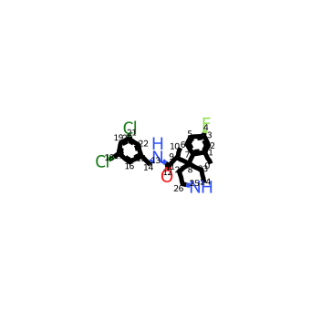 Cc1cc(F)ccc1C1(C(C)C(=O)NCc2cc(Cl)cc(Cl)c2)CCNCC1